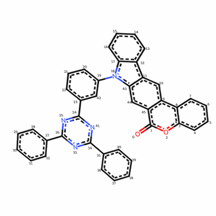 O=c1oc2ccccc2c2cc3c4ccccc4n(-c4cccc(-c5nc(-c6ccccc6)nc(-c6ccccc6)n5)c4)c3cc12